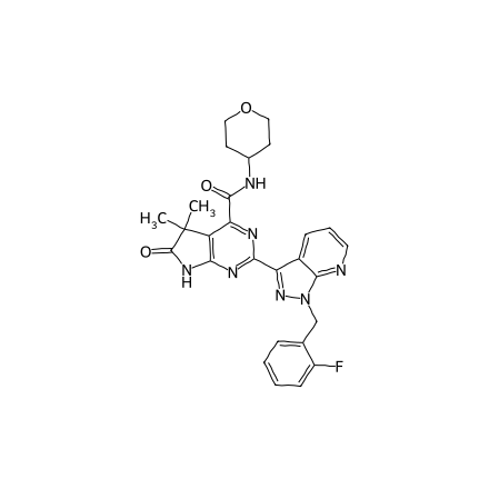 CC1(C)C(=O)Nc2nc(-c3nn(Cc4ccccc4F)c4ncccc34)nc(C(=O)NC3CCOCC3)c21